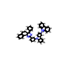 c1ccc(-c2nc(-c3cccc(-n4c5ccccc5c5cc(-n6c7ccccc7c7ccccc76)ccc54)c3)nc3c2ccc2ccccc23)cc1